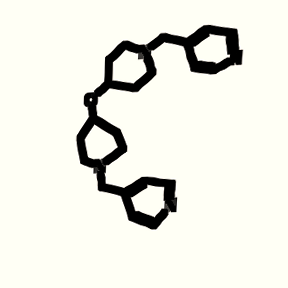 c1cc(CN2CCC(OC3CCN(Cc4ccncc4)CC3)CC2)ccn1